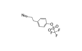 N#CCCc1ccc(OS(=O)(=O)C(F)(F)F)cc1